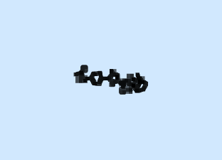 CC(=O)Nc1ccc(-c2ncc(C(=O)N[C@@H]3C4CCN(CC4)[C@H]3C)s2)cc1